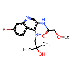 CCOCC(=O)Nc1cnc2cc(Br)ccc2c1NCC(C)(C)O